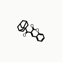 O=C(c1cc2ccccc2oc1=O)C12CC3CC(CC(C3)C1)C2